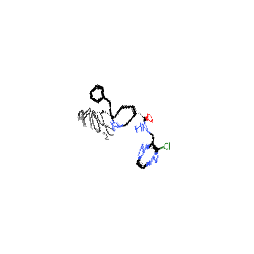 COC[C@]1(Cc2ccccc2)CC[C@H](C(=O)NCc2nccnc2Cl)CN1C(=O)O